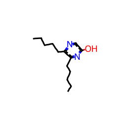 CCCCCc1ncc(O)nc1CCCCC